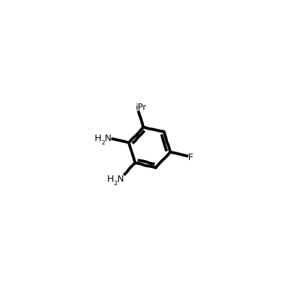 CC(C)c1cc(F)cc(N)c1N